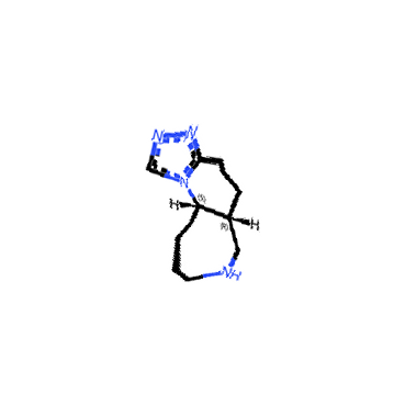 c1nnc2n1[C@H]1CCNC[C@H]1CC2